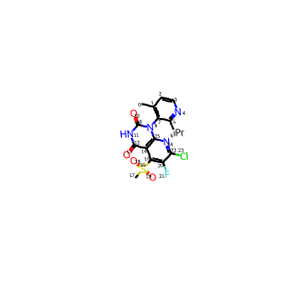 Cc1ccnc(C(C)C)c1-n1c(=O)[nH]c(=O)c2c(S(C)(=O)=O)c(F)c(Cl)nc21